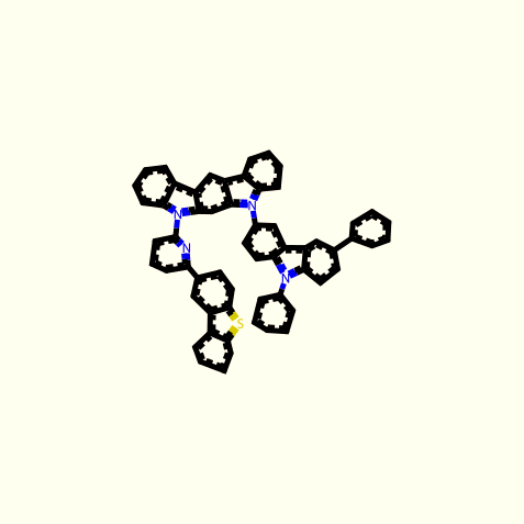 c1ccc(-c2ccc3c(c2)c2cc(-n4c5ccccc5c5cc6c7ccccc7n(-c7cccc(-c8ccc9sc%10ccccc%10c9c8)n7)c6cc54)ccc2n3-c2ccccc2)cc1